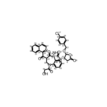 N[N+]1(C(=O)N[C@H]2CC(=O)OC2OCc2ccc(Cl)cc2)C(=O)C(C(=O)c2nccc3ccccc23)CN(C(=O)CO)c2ccccc21